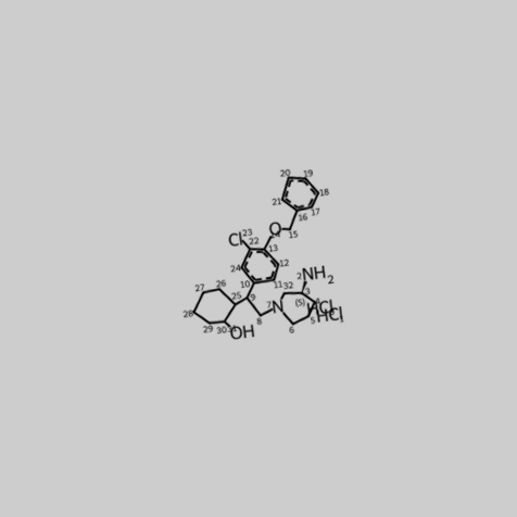 Cl.Cl.N[C@H]1CCCN(CC(c2ccc(OCc3ccccc3)c(Cl)c2)C2CCCCC2O)C1